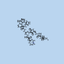 CCn1nnc2c1-c1ccccc1N(C(=O)CC[C@@H](CCNC(=O)O[C@H]1CC/C=C/CCC1)CCN1C(=O)CC(SCCC(=O)NCC(C)(CC)CC)C1=O)Cc1ccccc1-2